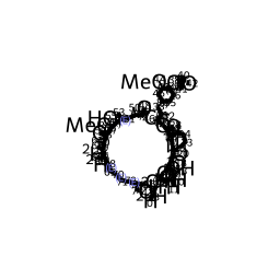 [2H]C([2H])([2H])O[C@H]1C[C@@H]2CC([2H])([2H])[C@@H](C)[C@@](O)(O2)C(=O)C(=O)N2CCCC[C@H]2C(=O)O[C@H]([C@H](C)C[C@@H]2CC[C@@H](OP(C)(C)=O)[C@H](OC)C2)CC(=O)[C@H](C)/C=C(\C)[C@@H](O)[C@@H](OC)C(=O)[C@H](C)C([2H])(C)[C@]([2H])(C)/C=C/C=C/C=C/1C